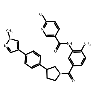 Cc1ccc(C(=O)N2CCC(c3ccc(-c4cnn(C)c4)cc3)C2)cc1NC(=O)c1ccc(Cl)nc1